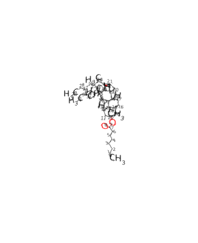 CCCCCCCC(=O)O[C@H]1CC[C@@]2(C)C(=CC[C@H]3[C@@H]4CC[C@H]([C@H](C)CC[C@@H](CC)C(C)C)[C@@]4(C)CC[C@@H]32)C1